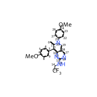 C=C1C(c2ccc(OC)cc2)=c2nc(NCC(F)(F)F)ncc2=CN1c1ccc(OC)cc1